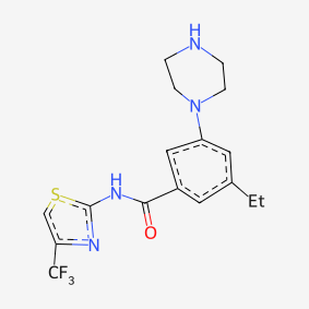 CCc1cc(C(=O)Nc2nc(C(F)(F)F)cs2)cc(N2CCNCC2)c1